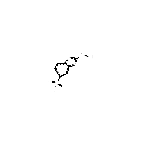 NNc1nc2ccc(S(=O)(=O)O)cc2s1